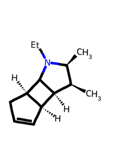 CCN1C2[C@@H]([C@H](C)[C@@H]1C)[C@H]1C=CC[C@@H]21